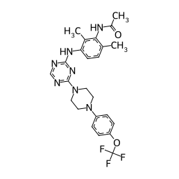 CC(=O)Nc1c(C)ccc(Nc2ncnc(N3CCN(c4ccc(OC(F)(F)F)cc4)CC3)n2)c1C